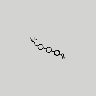 C=CCCC1CCC(C2CCC(c3ccc(OCC)cc3)CC2)CC1